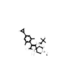 CON1CCC2(CC1)NC(=O)C(c1c(C)cc(C3CC3)cc1C)=C2OC(=O)C(C)(C)C